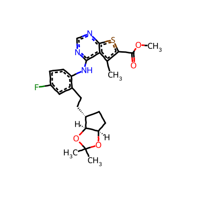 COC(=O)c1sc2ncnc(Nc3ccc(F)cc3CC[C@@H]3CC[C@H]4OC(C)(C)O[C@@H]34)c2c1C